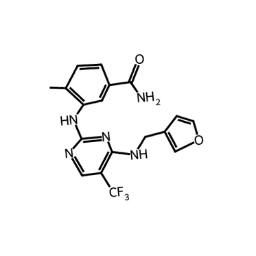 Cc1ccc(C(N)=O)cc1Nc1ncc(C(F)(F)F)c(NCc2ccoc2)n1